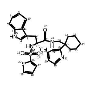 C[C@@](Cc1c[nH]c2ccccc12)(NS(=O)(=O)c1cccs1)C(=O)NCC1(c2ccccn2)CCCCC1